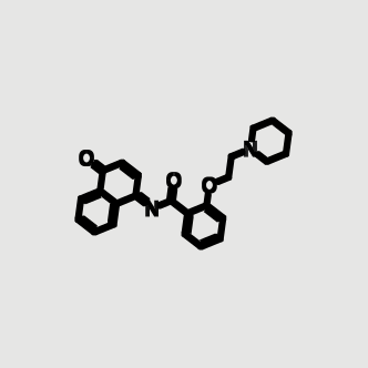 O=C(/N=C1\C=CC(=O)c2ccccc21)c1ccccc1OCCN1CCCCC1